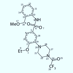 CCOc1ccc(S(=O)(=O)Nc2ccccc2COC)cc1N1CCN(C(=O)C(F)(F)F)CC1